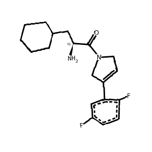 N[C@@H](CC1CCCCC1)C(=O)N1CC=C(c2cc(F)ccc2F)C1